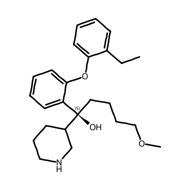 CCc1ccccc1Oc1ccccc1[C@](O)(CCCCOC)C1CCCNC1